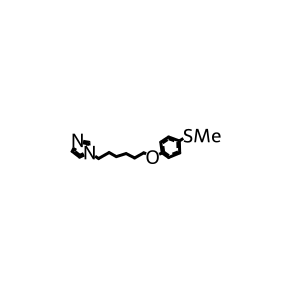 CSc1ccc(OCCCCCCn2ccnc2)cc1